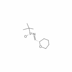 CC(C)(C)[S@@+]([O-])/N=C/[C@@H]1CCCCO1